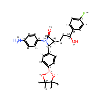 CC1(C)OB(c2ccc([C@@H]3[C@@H](CC[C@H](O)c4ccc(F)cc4)C(=O)N3c3ccc(N)cc3)cc2)OC1(C)C